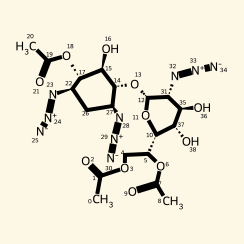 CC(=O)OCC(OC(C)=O)[C@@H]1O[C@H](O[C@H]2[C@H](O)[C@@H](OC(C)=O)[C@H](N=[N+]=[N-])C[C@@H]2N=[N+]=[N-])[C@H](N=[N+]=[N-])[C@@H](O)[C@@H]1O